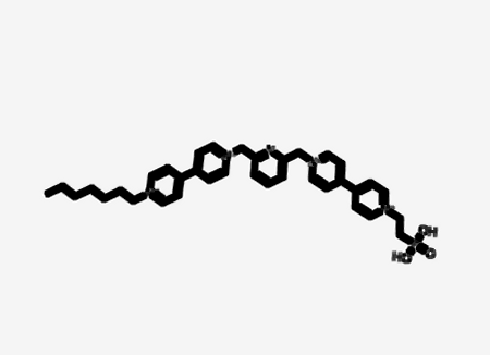 CCCCCCC[n+]1ccc(-c2cc[n+](Cc3cccc(C[n+]4ccc(-c5cc[n+](CCP(=O)(O)O)cc5)cc4)n3)cc2)cc1